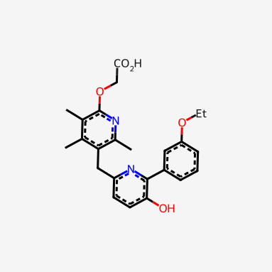 CCOc1cccc(-c2nc(Cc3c(C)nc(OCC(=O)O)c(C)c3C)ccc2O)c1